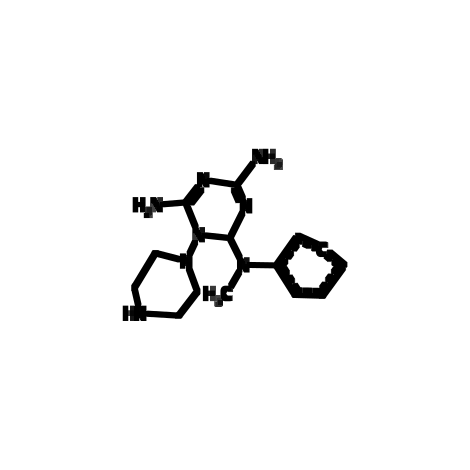 CN(c1ccccc1)C1N=C(N)N=C(N)N1N1CCNCC1